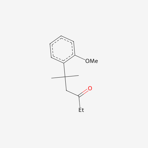 CCC(=O)CC(C)(C)c1ccccc1OC